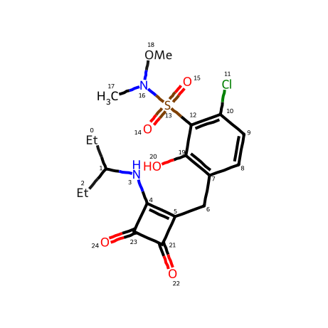 CCC(CC)Nc1c(Cc2ccc(Cl)c(S(=O)(=O)N(C)OC)c2O)c(=O)c1=O